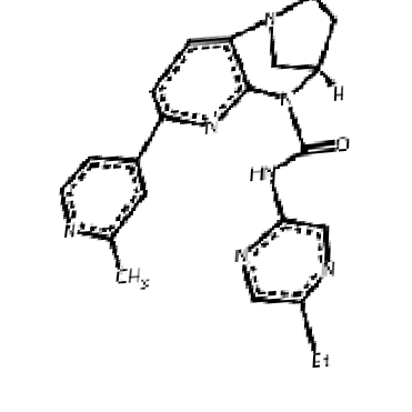 CCc1cnc(NC(=O)N2c3nc(-c4ccnc(C)c4)ccc3N3CC[C@H]2C3)cn1